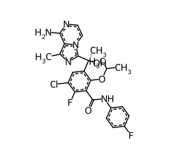 Cc1nc([C@@](C)(O)c2cc(Cl)c(F)c(C(=O)Nc3ccc(F)cc3)c2OC(C)C)n2ccnc(N)c12